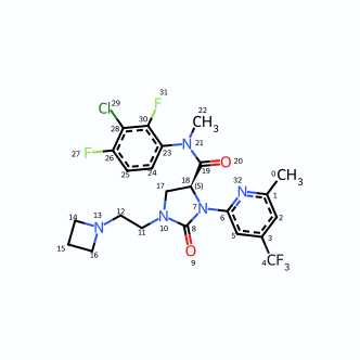 Cc1cc(C(F)(F)F)cc(N2C(=O)N(CCN3CCC3)C[C@H]2C(=O)N(C)c2ccc(F)c(Cl)c2F)n1